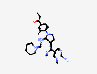 C=N/C=C(\C=N/CN)C(/N=C)=C1\CCN(c2ccc(C(=O)CC)cc2C)C1NCN1CCCCC1